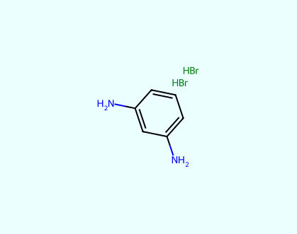 Br.Br.Nc1cccc(N)c1